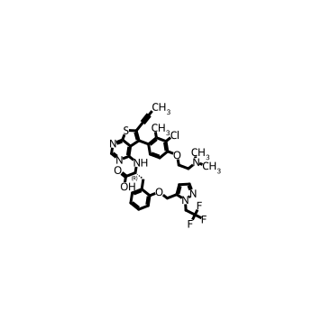 CC#Cc1sc2ncnc(N[C@H](Cc3ccccc3OCc3ccnn3CC(F)(F)F)C(=O)O)c2c1-c1ccc(OCCN(C)C)c(Cl)c1C